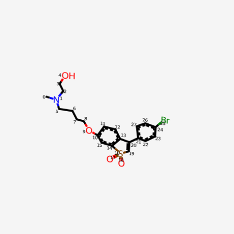 CN(CCO)CCCCOc1ccc2c(c1)S(=O)(=O)C=C2c1ccc(Br)cc1